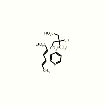 C/C=C/C=C/C(=O)OCC.O=C(O)CC(O)(CC(=O)O)C(=O)O.c1ccncc1